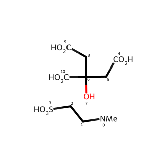 CNCCS(=O)(=O)O.O=C(O)CC(O)(CC(=O)O)C(=O)O